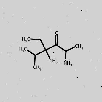 CCC(C)(C(=O)C(C)N)C(C)C